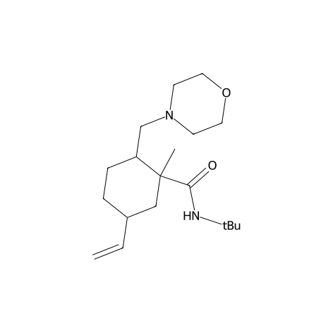 C=CC1CCC(CN2CCOCC2)C(C)(C(=O)NC(C)(C)C)C1